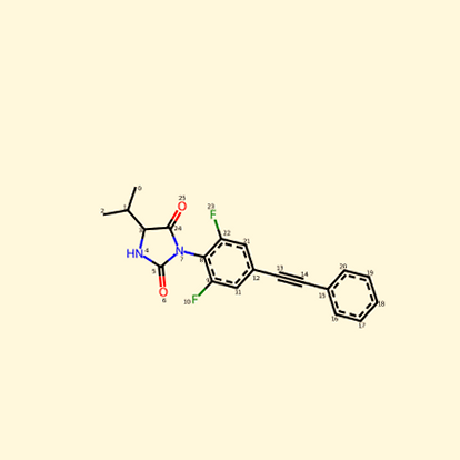 CC(C)C1NC(=O)N(c2c(F)cc(C#Cc3ccccc3)cc2F)C1=O